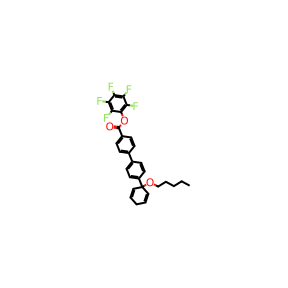 CCCCCOC1(c2ccc(-c3ccc(C(=O)Oc4c(F)c(F)c(F)c(F)c4F)cc3)cc2)C=CCC=C1